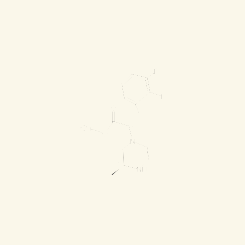 C[C@H]1CN([C@@H](Cc2cccc(F)c2F)C(=O)OC(C)(C)C)CCN1